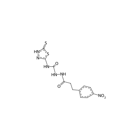 O=C(CCc1ccc([N+](=O)[O-])cc1)NNC(=O)Nc1n[nH]c(=S)s1